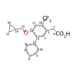 O=C(O)Cc1cc(-c2ccccc2)c(OCC2CC2)cc1C(F)(F)F